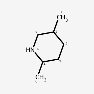 CC1CCC(C)NC1